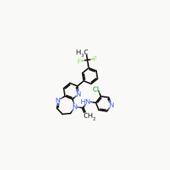 C=C(Nc1ccncc1Cl)N1CCC=Nc2ccc(-c3cccc(C(C)(F)F)c3)nc21